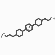 CCCCC1CCC(C23CCC(C4CCC(CCC)CC4)(CC2)CC3)CC1